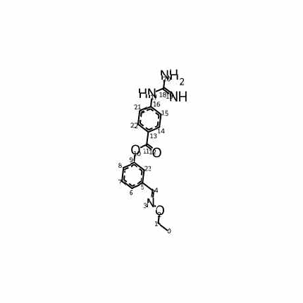 CCON=Cc1cccc(OC(=O)c2ccc(NC(=N)N)cc2)c1